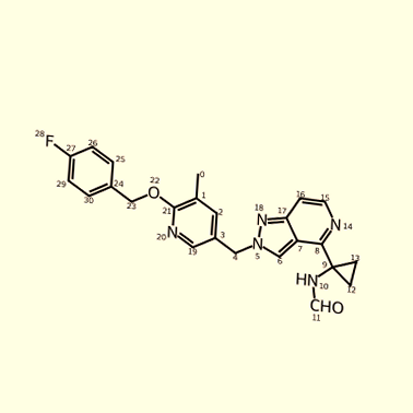 Cc1cc(Cn2cc3c(C4(NC=O)CC4)nccc3n2)cnc1OCc1ccc(F)cc1